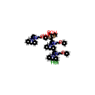 Br.Br.O=C(O)C(O)(c1cccs1)c1cccs1.c1ccc(OCCC[N+]23CCC(CC2)[C@@H]([n+]2c4ccccc4cc4ccccc42)C3)cc1.c1ccc(OCCC[N+]23CCC(CC2)[C@@H]([n+]2c4ccccc4cc4ccccc42)C3)cc1.c1ccc(OCCC[N+]23CCC(CC2)[C@@H]([n+]2c4ccccc4cc4ccccc42)C3)cc1